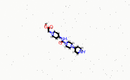 COC(=O)CN1CCC(NC(=O)N2CCN(C3CCNCC3)CC2)CC1